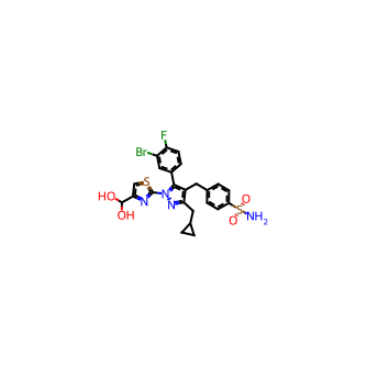 NS(=O)(=O)c1ccc(Cc2c(CC3CC3)nn(-c3nc(C(O)O)cs3)c2-c2ccc(F)c(Br)c2)cc1